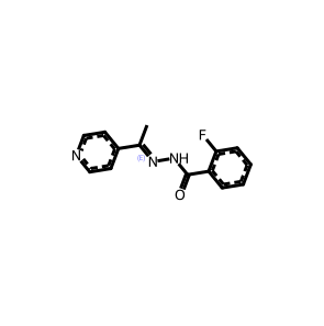 C/C(=N\NC(=O)c1ccccc1F)c1ccncc1